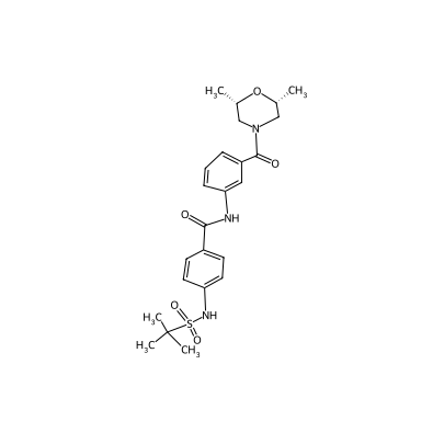 C[C@@H]1CN(C(=O)c2cccc(NC(=O)c3ccc(NS(=O)(=O)C(C)(C)C)cc3)c2)C[C@H](C)O1